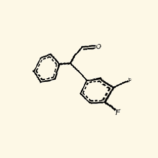 O=CC(c1ccccc1)c1ccc(F)c(F)c1